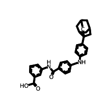 O=C(O)c1cccc(NC(=O)c2ccc(Nc3ccc(C45CC6CC(CC4C6)C5)cc3)cc2)c1